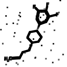 C=CCC[C@H]1CC[C@H](c2cc(F)c(F)c(F)c2)CC1